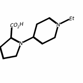 CCN1CCC(N2CCCC2C(=O)O)CC1